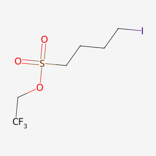 O=S(=O)(CCCCI)OCC(F)(F)F